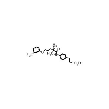 CCOC(=O)C=Cc1ccc(NC(=O)C(C)(C)CCCOc2cccc(C(F)(F)F)c2)cc1